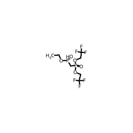 CCO[PH](=O)CP(=O)(OCC(F)(F)F)OCC(F)(F)F